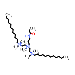 CCCCCCCCCCCC[N+](C)(C)CC[N+](C)(CCCNC(=O)CC)CC[N+](C)(C)CCCCCCCCCCCC